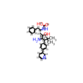 CC(C)(C)C(c1ccc(-c2cccnc2)cc1)[C@H](N)[C@@H](O)C[C@H](Cc1ccccc1)NC(=O)O